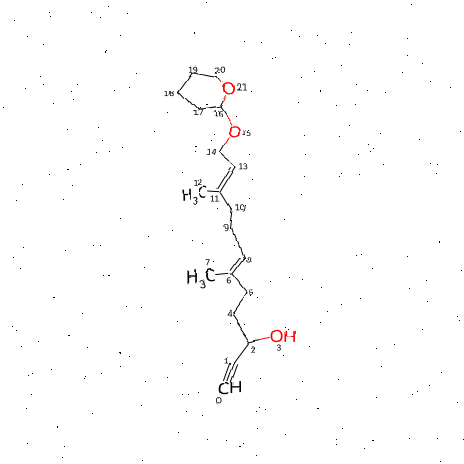 C#CC(O)CC/C(C)=C/CC/C(C)=C/COC1CCCCO1